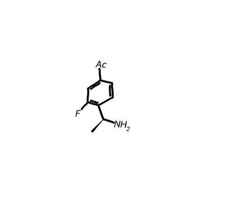 CC(=O)c1ccc([C@H](C)N)c(F)c1